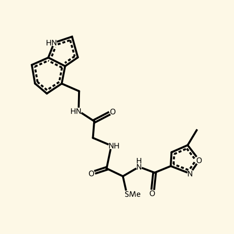 CSC(NC(=O)c1cc(C)on1)C(=O)NCC(=O)NCc1cccc2[nH]ccc12